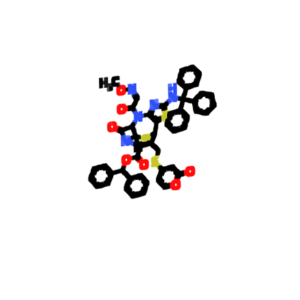 CO/N=C\C(=O)N1c2nc(NC(c3ccccc3)(c3ccccc3)c3ccccc3)sc2C2S[C@H]3C1C(=O)N3C(C(=O)OC(c1ccccc1)c1ccccc1)=C2CSc1ccoc(=O)c1